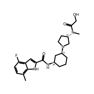 Cc1ccc(F)c2cc(C(=O)N[C@@H]3CCC[C@H](N4CC[C@H](N(C)C(=O)CO)C4)C3)[nH]c12